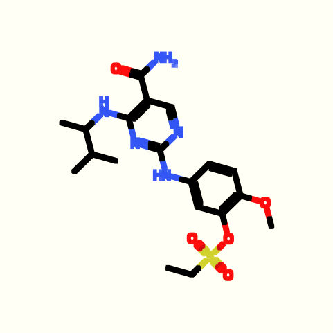 CCS(=O)(=O)Oc1cc(Nc2ncc(C(N)=O)c(NC(C)C(C)C)n2)ccc1OC